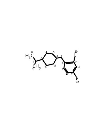 CC(C)C1CCC(Cc2ccc(F)cc2F)CC1